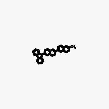 CC1=CC2=CC=C(C3=CC4=CC=C(n5c6ccccc6c6ccccc65)CC4CC3)CC2CC1